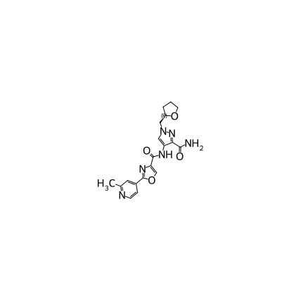 Cc1cc(-c2nc(C(=O)Nc3cn(C[C@H]4CCCO4)nc3C(N)=O)co2)ccn1